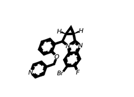 Fc1cc2nc3n(c2cc1Br)C(c1ccccc1OCc1ccncc1)[C@@H]1C[C@H]31